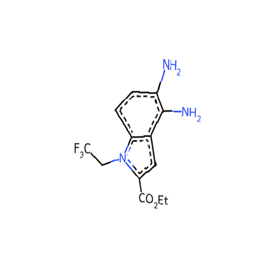 CCOC(=O)c1cc2c(N)c(N)ccc2n1CC(F)(F)F